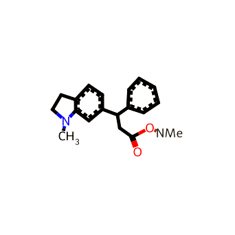 CNOC(=O)CC(c1ccccc1)c1ccc2c(c1)N(C)CC2